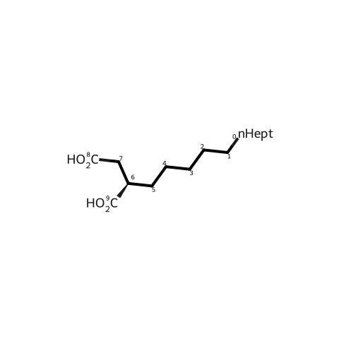 CCCCCCCCCCCC[C@H](CC(=O)O)C(=O)O